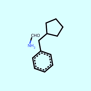 NC=O.c1ccc(CC2CCCC2)cc1